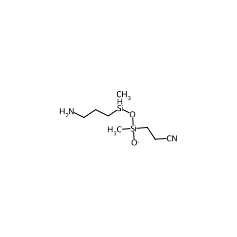 C[SiH](CCCN)O[Si](C)([O])CCC#N